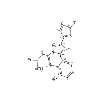 CC(C)C(Nc1nc2c(Br)cccc2c2nc(-c3cnn(C)c3)nn12)C(=O)O